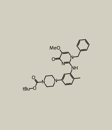 COc1cn(Cc2ccccc2)c(Nc2cc(N3CCN(C(=O)OC(C)(C)C)CC3)ccc2C)nc1=O